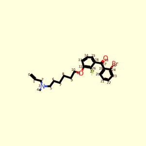 C=CCN(C)CCCCCCOc1cccc(C(=O)c2ccccc2Br)c1F